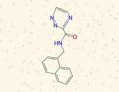 O=C(NCc1cccc2ccccc12)c1nccnn1